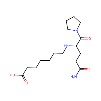 NC(=O)CCC(NCCCCCCC(=O)O)C(=O)N1CCCC1